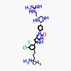 C[C@H](N)CCCc1cc(Cl)c(F)c(-c2cc3cn(-c4ccc([C@H]5CNC[C@@H](CCNC(=N)N)N5)cc4)c(=O)nc3[nH]2)c1